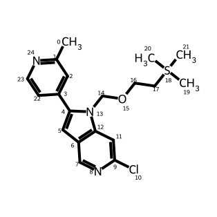 Cc1cc(-c2cc3cnc(Cl)cc3n2COCCS(C)(C)C)ccn1